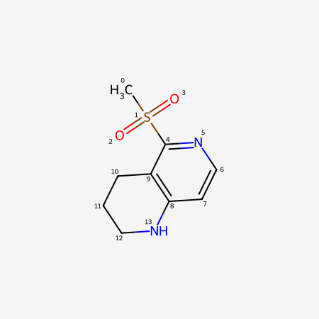 CS(=O)(=O)c1nccc2c1CCCN2